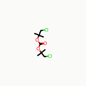 CC(C)(CCl)OC(=O)OC(C)(C)CCl